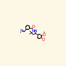 C/N=C/c1cccc(C(=O)N2N=C(c3ccc(OC)c(OC)c3)CC2(C)C)c1